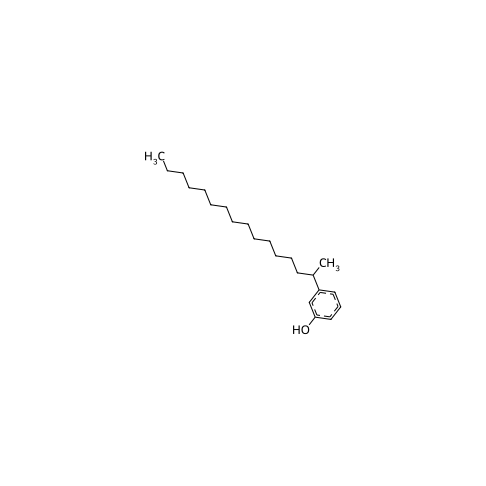 CCCCCCCCCCCCCCC(C)c1cccc(O)c1